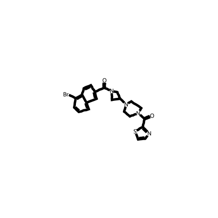 O=C(c1ccc2c(Br)cccc2c1)N1CC(N2CCN(C(=O)c3nccs3)CC2)C1